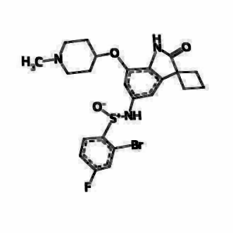 CN1CCC(Oc2cc(N[S+]([O-])c3ccc(F)cc3Br)cc3c2NC(=O)C32CCC2)CC1